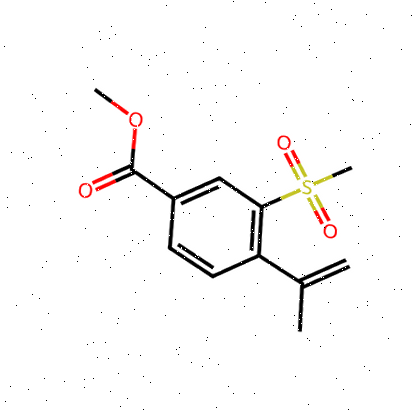 C=C(C)c1ccc(C(=O)OC)cc1S(C)(=O)=O